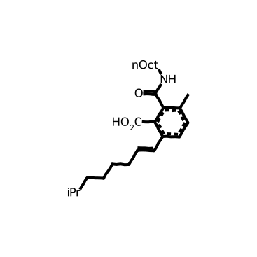 CCCCCCCCNC(=O)c1c(C)ccc(C=CCCCCC(C)C)c1C(=O)O